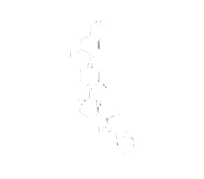 COc1ccc(N2CCN(c3nccc(C(=O)NC4CC5CCC4C5)n3)[C@H](C)C2)c(F)c1